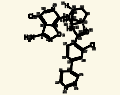 Nc1noc2c(N3C[C@@H]4CC[C@H]3[C@@H]4NC(=O)c3ccc(-c4ccnnc4)cc3Cl)ncc(Cl)c12